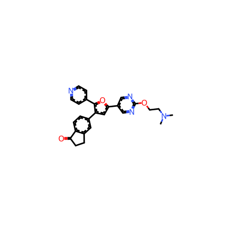 CN(C)CCOc1ncc(-c2cc(-c3ccc4c(c3)CCC4=O)c(-c3ccncc3)o2)cn1